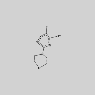 CC(C)c1nc(N2CCOCC2)ncc1Cl